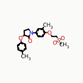 Cc1ccc(OC2CCN(c3ccc(OCCS(C)(=O)=O)c(C)c3)C2=O)cc1